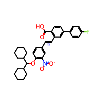 O=C(O)c1ccc(-c2ccc(F)cc2)cc1/C=C/c1ccc(OC(C2CCCCC2)C2CCCCC2)c([N+](=O)[O-])c1